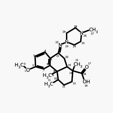 COc1ccc2c(c1)C1(C)C(C)CCC(C)(C(=O)O)C1CC2=NN1CCN(C)CC1